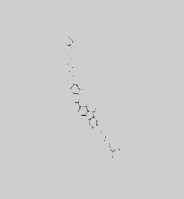 C=C(F)C(=O)OCCCCCCOc1ccc(OC(=O)c2ccc3c(c2)C(F)c2cc(OCCCCOC(=O)CC)ccc2-3)cc1